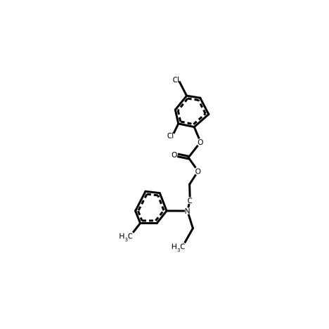 CCN(CCOC(=O)Oc1ccc(Cl)cc1Cl)c1cccc(C)c1